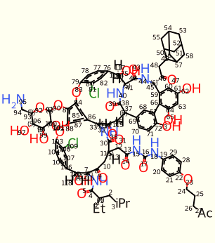 CC[C@H](CC(C)C)C(=O)N[C@H]1C(=O)C[C@@H](CC(=O)NC(=O)Nc2ccc(OCCCC(C)=O)cc2)C(=O)N[C@H]2C(=O)C[C@H]3C(=O)N[C@H](C(=O)N[C@H](C(=O)CC4C5CC6CC(C5)CC4C6)c4cc(O)cc(O)c4-c4cc3ccc4O)[C@H](O)c3ccc(c(Cl)c3)Oc3cc2cc(c3O[C@@H]2O[C@H](CN)[C@@H](O)[C@H](O)[C@H]2O)Oc2ccc(cc2Cl)[C@H]1O